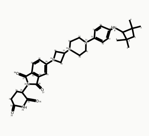 CC1(C)CC(C)(C)C1Nc1ccc(N2CCN(C3CN(c4ccc5c(c4)C(=O)N(C4CCC(=O)NC4=O)C5=O)C3)CC2)cc1